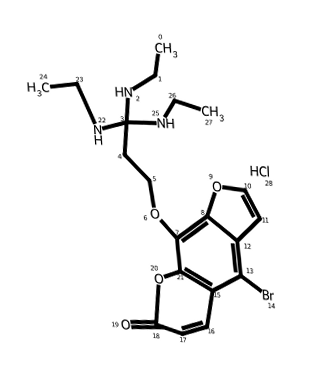 CCNC(CCOc1c2occc2c(Br)c2ccc(=O)oc12)(NCC)NCC.Cl